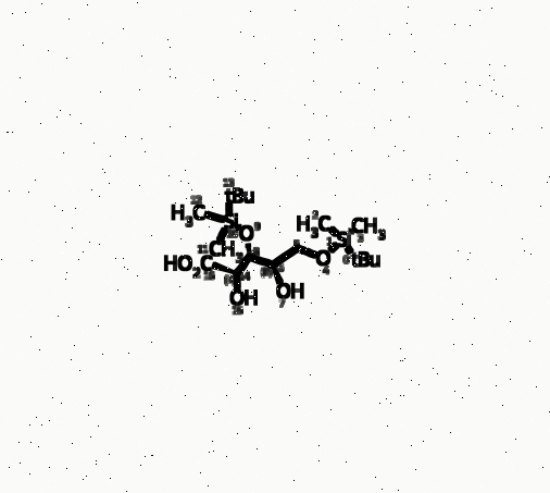 CC(C)(C)[Si](C)(C)OC[C@@H](O)[C@@H](O[Si](C)(C)C(C)(C)C)[C@@H](O)C(=O)O